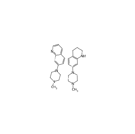 CN1CCN(c2ccc3c(c2)NCCC3)CC1.CN1CCN(c2ccc3cccnc3c2)CC1